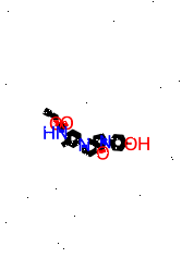 C#CCOC(=O)Nc1ccc(N2CCC[C@]3(CCN([C@H]4CC[C@H](O)CC4)C3=O)C2)cc1C